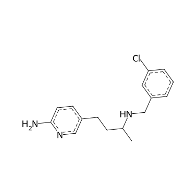 CC(CCc1ccc(N)nc1)NCc1cccc(Cl)c1